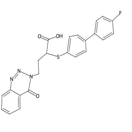 O=C(O)C(CCn1nnc2ccccc2c1=O)Sc1ccc(-c2ccc(F)cc2)cc1